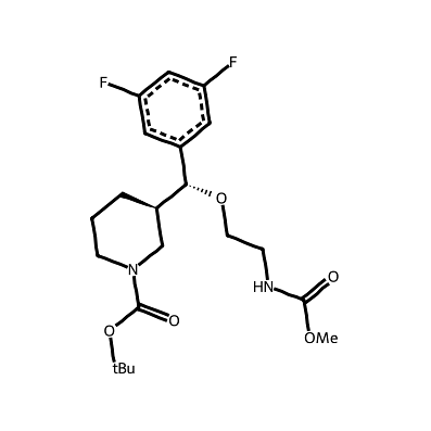 COC(=O)NCCO[C@@H](c1cc(F)cc(F)c1)[C@@H]1CCCN(C(=O)OC(C)(C)C)C1